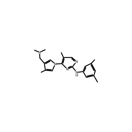 Cc1cc(C)cc(Nc2ncc(C)c(-n3cc(C)c(CN(C)C)c3)n2)c1